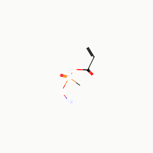 C=CC(=O)OP(C)(=O)ON